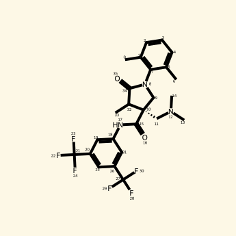 Cc1cccc(C)c1N1C[C@@](CN(C)C)(C(=O)Nc2cc(C(F)(F)F)cc(C(F)(F)F)c2)C(C)C1=O